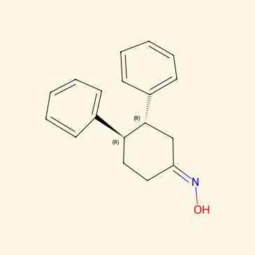 ON=C1CC[C@@H](c2ccccc2)[C@H](c2ccccc2)C1